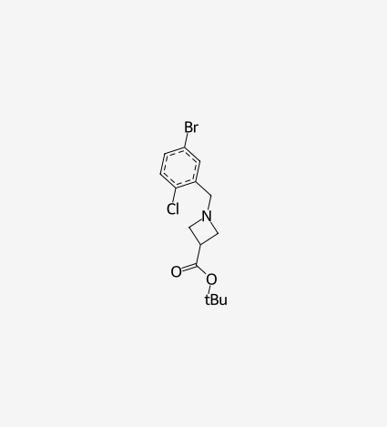 CC(C)(C)OC(=O)C1CN(Cc2cc(Br)ccc2Cl)C1